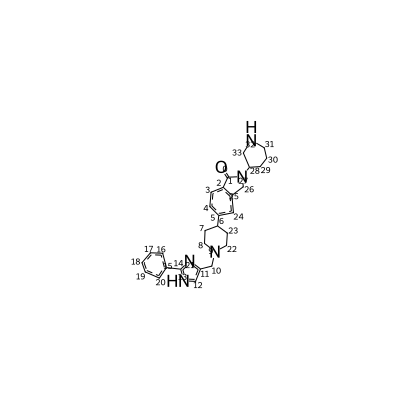 O=C1c2ccc(C3CCN(Cc4c[nH]c(-c5ccccc5)n4)CC3)cc2CN1C1CCCNC1